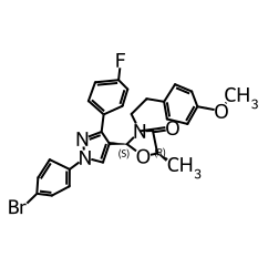 COc1ccc(CCN2C(=O)[C@@H](C)O[C@H]2c2cn(-c3ccc(Br)cc3)nc2-c2ccc(F)cc2)cc1